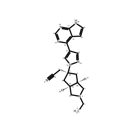 CCN1C[C@@H]2C[C@](CC#N)(n3cc(-c4ncnc5[nH]ccc45)cn3)C[C@@H]2C1